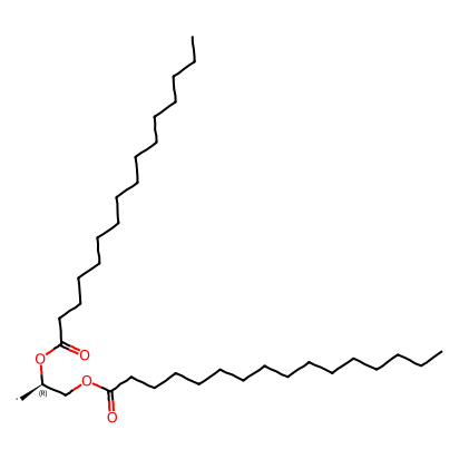 [CH2][C@H](COC(=O)CCCCCCCCCCCCCCC)OC(=O)CCCCCCCCCCCCCCC